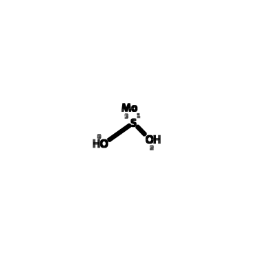 OSO.[Mo]